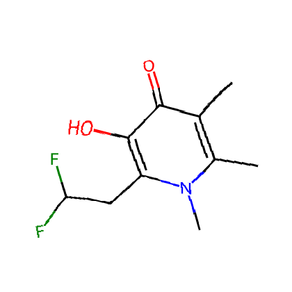 Cc1c(C)n(C)c(CC(F)F)c(O)c1=O